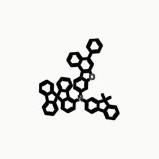 CC1(C)c2ccccc2-c2ccc(N(c3ccc4c(c3)oc3cc(-c5ccccc5)c5ccccc5c34)c3cccc4c3-c3ccccc3C43c4ccccc4-c4ccccc43)cc21